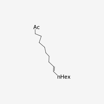 CCCCCCC=CCCCCCCCC(C)=O